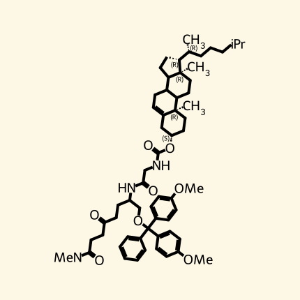 CNC(=O)CCC(=O)CCC(COC(c1ccccc1)(c1ccc(OC)cc1)c1ccc(OC)cc1)NC(=O)CNC(=O)O[C@H]1CC[C@@]2(C)C(=CCC3C2CC[C@@]2(C)C3CC[C@@H]2[C@H](C)CCCC(C)C)C1